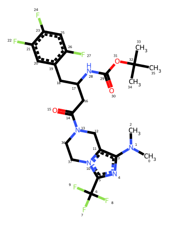 CN(C)c1nc(C(F)(F)F)n2c1CN(C(=O)CC(Cc1cc(F)c(F)cc1F)NC(=O)OC(C)(C)C)CC2